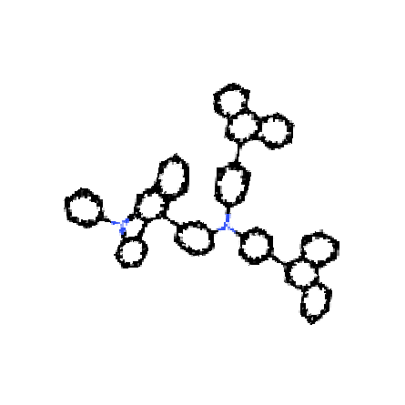 c1ccc(-n2c3ccccc3c3c(-c4cccc(N(c5ccc(-c6cc7ccccc7c7ccccc67)cc5)c5ccc(-c6cc7ccccc7c7ccccc67)cc5)c4)c4ccccc4cc32)cc1